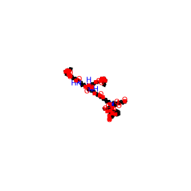 CCC1OC(OCCCCC(=O)NCCCC[C@H](NC(=O)CCCCOC2OC(CC)C(C)C(C)C2C)C(=O)NCCCCCC(=O)CCCCCCC(=O)N2C[C@H](OC(=O)CCC(C)=O)C[C@H]2COC(c2ccccc2)(c2ccc(OC)cc2)c2ccc(OC)cc2)C(C)C(C)C1C